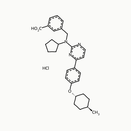 C[C@H]1CC[C@H](Oc2ccc(-c3ccnc(N(Cc4cccc(C(=O)O)c4)C4CCCC4)n3)cc2)CC1.Cl